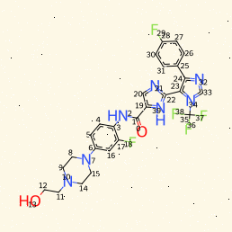 O=C(Nc1ccc(N2CCN(CCO)CC2)cc1F)c1cnc(-c2c(-c3ccc(F)cc3)ncn2C(F)(F)F)[nH]1